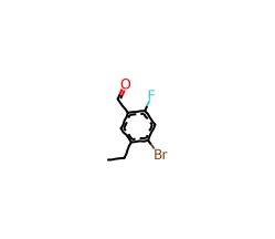 CCc1cc(C=O)c(F)cc1Br